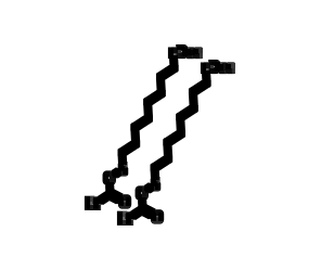 CCCCCCCCCCCCCCCCCCSOC(=O)CC.CCCCCCCCCCCCCCCCCCSOC(=O)CC